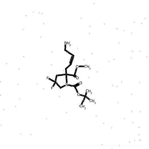 COC(=O)C1(C/C=C\CN)CC(F)(F)CN1C(=O)OC(C)(C)C